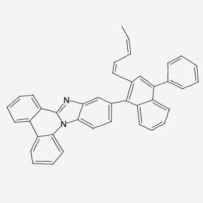 C/C=C\C=C/c1cc(-c2ccccc2)c2ccccc2c1-c1ccc2c(c1)nc1c3ccccc3c3ccccc3n21